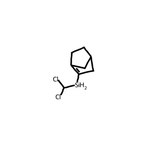 ClC(Cl)[SiH2]C1=C2CCC(C2)C1